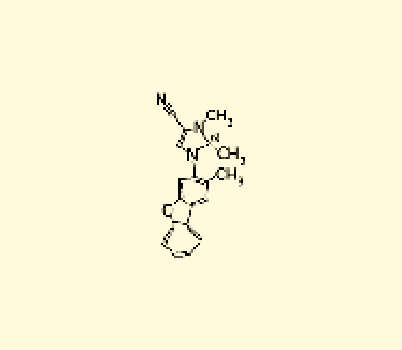 Cc1cc2c(cc1N1C=C(C#N)N(C)[C@@H]1C)oc1ccccc12